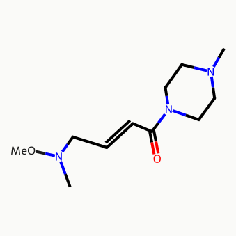 CON(C)C/C=C/C(=O)N1CCN(C)CC1